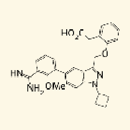 COc1c(C(=N)N)cccc1-c1ccc2c(c1)c(COc1ccccc1CC(=O)O)nn2C1CCC1